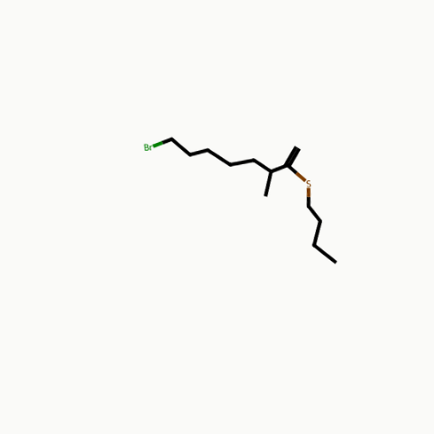 C=C(SCCCC)C(C)CCCCCBr